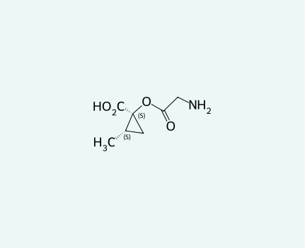 C[C@H]1C[C@@]1(OC(=O)CN)C(=O)O